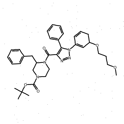 COCCCOC1C=C(n2nnc(C(=O)N3CCN(C(=O)OC(C)(C)C)CC3Cc3ccccc3)c2-c2ccccc2)C=CC1